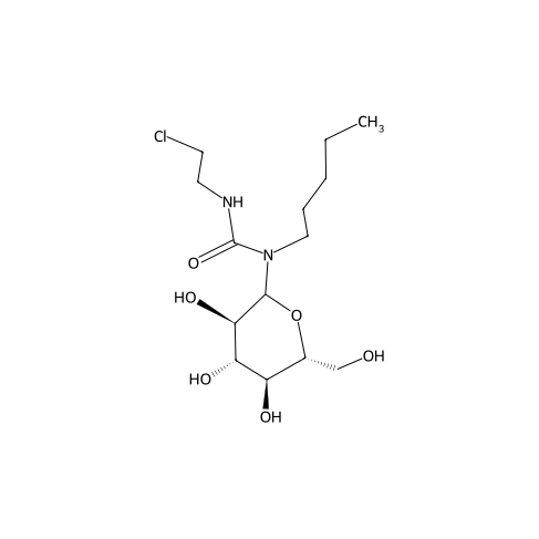 CCCCCN(C(=O)NCCCl)C1O[C@H](CO)[C@@H](O)[C@H](O)[C@H]1O